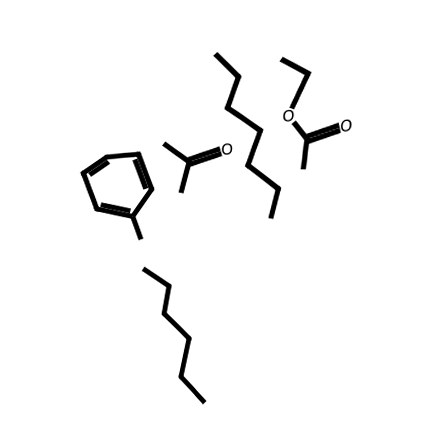 CC(C)=O.CCCCCC.CCCCCCC.CCOC(C)=O.Cc1ccccc1